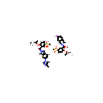 C[C@H](Oc1ccc(S(C)(=O)=O)cc1C(=O)N1Cc2ccc(I)cc2C1)C(F)(F)F.Cc1cn(-c2ccc3c(c2)CN(C(=O)c2cc(S(C)(=O)=O)ccc2O[C@@H](C)C(F)(F)F)C3)cn1